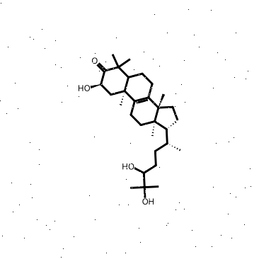 C[C@H](CCC(O)C(C)(C)O)[C@H]1CC[C@@]2(C)C3=C(CC[C@]12C)[C@@]1(C)C[C@@H](O)C(=O)C(C)(C)C1CC3